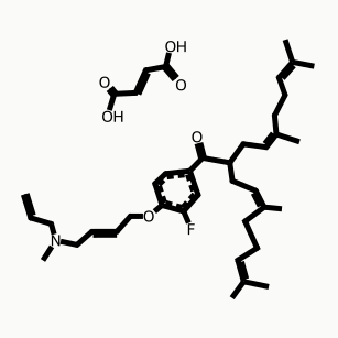 C=CCN(C)CC=CCOc1ccc(C(=O)C(CC=C(C)CCC=C(C)C)CC=C(C)CCC=C(C)C)cc1F.O=C(O)C=CC(=O)O